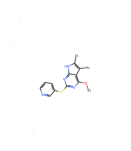 CCOc1nc(Sc2cccnc2)nc2[nH]c(CC)c(C(C)=O)c12